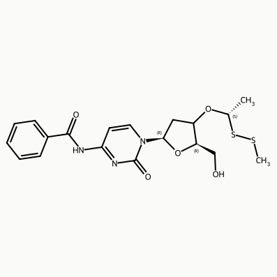 CSS[C@@H](C)OC1C[C@H](n2ccc(NC(=O)c3ccccc3)nc2=O)O[C@@H]1CO